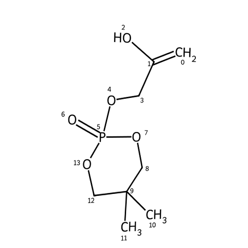 C=C(O)COP1(=O)OCC(C)(C)CO1